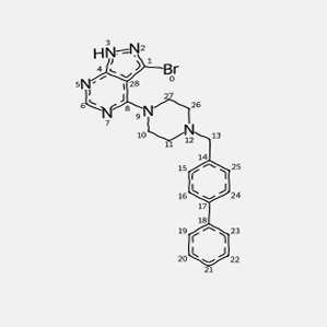 Brc1n[nH]c2ncnc(N3CCN(Cc4ccc(-c5ccccc5)cc4)CC3)c12